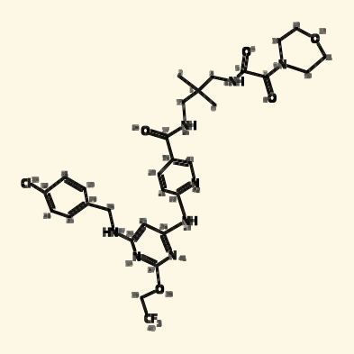 CC(C)(CNC(=O)C(=O)N1CCOCC1)CNC(=O)c1ccc(Nc2cc(NCc3ccc(Cl)cc3)nc(OCC(F)(F)F)n2)nc1